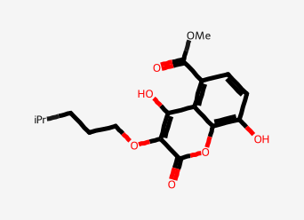 COC(=O)c1ccc(O)c2oc(=O)c(OCCCC(C)C)c(O)c12